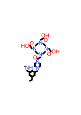 CCc1cc(CNC)cc(CN2CCN(C(=O)CN3CCN(CC(=O)O)CCN(CC(=O)O)CCN(CC(=O)O)CC3)CC2)c1